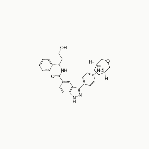 O=C(NC(CCO)c1ccccc1)c1ccc2[nH]nc(-c3ccc(N4[C@@H]5CC[C@H]4COC5)cc3)c2c1